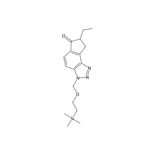 CCC1Cc2c(ccc3c2nnn3COCC[Si](C)(C)C)C1=O